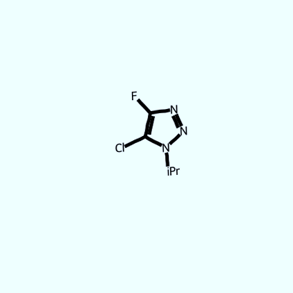 CC(C)n1nnc(F)c1Cl